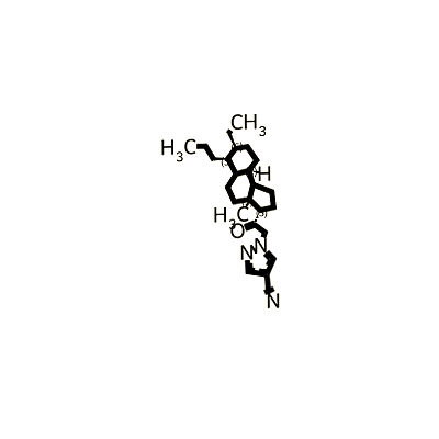 CCC[C@@H]1C2CC[C@@]3(C)C(CC[C@@H]3C(=O)Cn3cc(C#N)cn3)[C@@H]2CC[C@@H]1CC